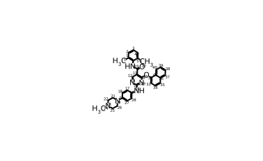 Cc1cccc(C)c1NC(=O)c1cnc(Nc2ccc(N3CCN(C)CC3)cc2)nc1Oc1cccc2ccccc12